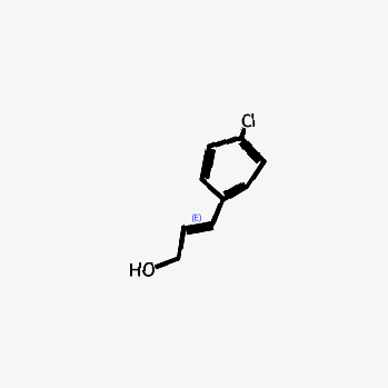 OC/C=C/c1ccc(Cl)cc1